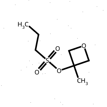 CCCS(=O)(=O)OC1(C)COC1